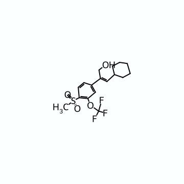 CS(=O)(=O)c1ccc(C(=CC2CCCCC2)CO)cc1OC(F)(F)F